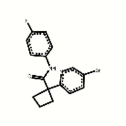 O=C(Nc1ccc(F)cc1)C1(c2ccc(Br)cn2)CCC1